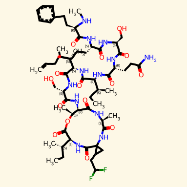 C=CCCCCC[C@H](NC(=O)[C@@H](CCc1ccccc1)NC)C(=O)N[C@@H](CO)C(=O)N[C@H](CCC(N)=O)C(=O)N[C@@H](C(=O)N[C@H](C(=O)N[C@@H](CO)C(=O)N[C@H]1C(=O)N[C@@H](C)C(=O)NC2(CC2CC(F)F)C(=O)N[C@@H]([C@@H](C)CC)C(=O)O[C@H]1C)[C@@H](C)CC)[C@@H](C)CC